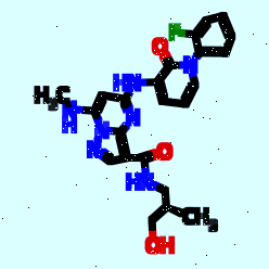 CNc1cc(Nc2cccn(-c3ccccc3F)c2=O)nc2c(C(=O)NC[C@@H](C)CO)cnn12